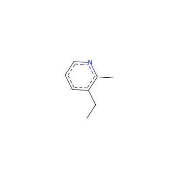 CCc1[c]ccnc1C